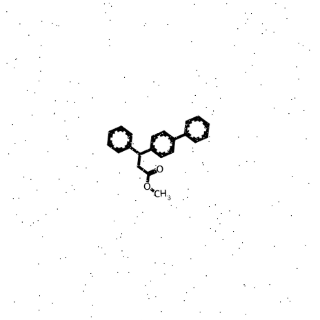 COC(=O)CC(c1ccccc1)c1ccc(-c2ccccc2)cc1